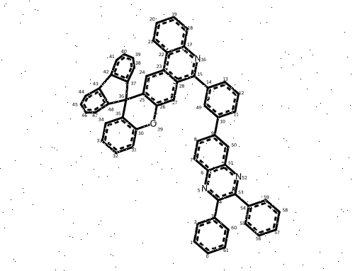 c1ccc(-c2nc3ccc(-c4cccc(-c5nc6ccccc6c6cc7c(cc56)Oc5ccccc5C75c6ccccc6-c6ccccc65)c4)cc3nc2-c2ccccc2)cc1